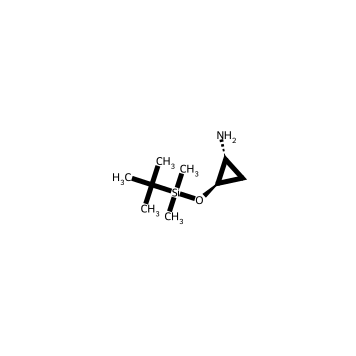 CC(C)(C)[Si](C)(C)O[C@@H]1C[C@H]1N